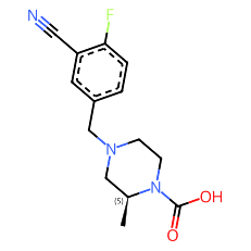 C[C@H]1CN(Cc2ccc(F)c(C#N)c2)CCN1C(=O)O